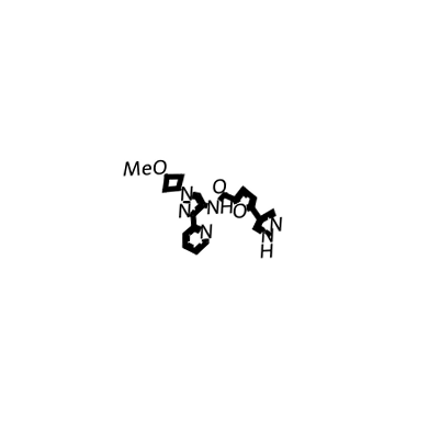 CO[C@H]1C[C@H](n2cc(NC(=O)c3ccc(-c4cn[nH]c4)o3)c(-c3ccccn3)n2)C1